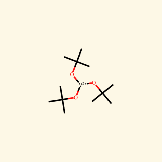 CC(C)(C)[O][V+2]([O]C(C)(C)C)[O]C(C)(C)C